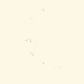 Cc1cc(-c2ccc(S(=O)(=O)NC3CCCc4c(OCC(=O)O)cccc43)nc2)cc(C(C)(C)C)c1